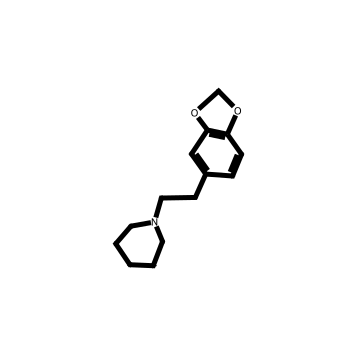 [CH]1CCCN(CCc2ccc3c(c2)OCO3)C1